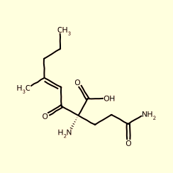 CCCC(C)=CC(=O)[C@](N)(CCC(N)=O)C(=O)O